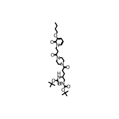 CCCCOc1cccn(CCC(=O)N2CCN(C(=O)CCC(CNC(=O)OC(C)(C)C)NC(=O)OC(C)(C)C)CC2)c1=O